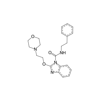 O=C(NCCc1ccccc1)n1c(OCCN2CCOCC2)nc2ccccc21